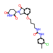 Cc1ccc(NC(=O)NCCCCOc2cccc3c2CN(C2CCC(=O)NC2=O)C3=O)cc1Cl